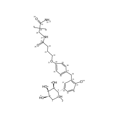 C[SH]1C[C@@H](O)[C@@H](O)[C@@H](O)[C@@H]1c1ccc(Cl)c(Cc2ccc(OCCCC(=O)NCC(C)(C)C(N)=O)cc2)c1